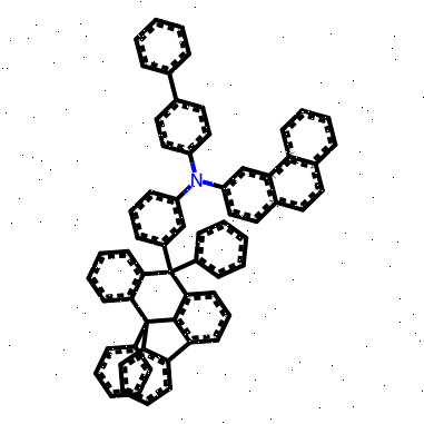 c1ccc(-c2ccc(N(c3cccc(C4(c5ccccc5)c5ccccc5C5(c6ccccc6)c6ccccc6-c6cccc4c65)c3)c3ccc4ccc5ccccc5c4c3)cc2)cc1